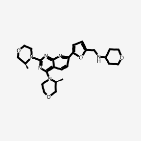 C[C@H]1COCCN1c1nc(N2CCOC[C@@H]2C)c2ccc(-c3ccc(CNC4CCOCC4)o3)nc2n1